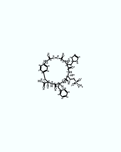 CS(=O)(=O)CC[C@@H]1NC(=O)[C@@H](CC2CC=CS2)NC(=O)CCC(=O)Nc2ccc(cc2)C[C@@H](C(=O)O)NC(=O)[C@@H](Cc2ccccc2)NC1=O